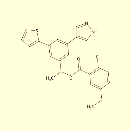 Cc1ccc(CN)cc1C(=O)NC(C)c1cc(-c2cn[nH]c2)cc(-c2cccs2)c1